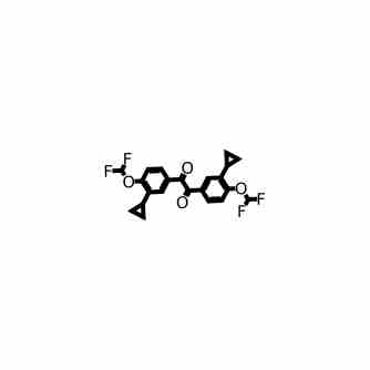 O=C(C(=O)c1ccc(OC(F)F)c(C2CC2)c1)c1ccc(OC(F)F)c(C2CC2)c1